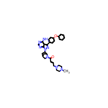 CN1CCN(C/C=C/C(=O)N2CC3CC2C(n2nc(-c4ccc(Oc5ccccc5)cc4)c4c(N)ncnc42)C3)CC1